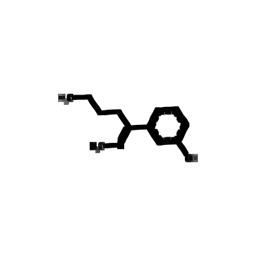 CCCCC(=NC)c1cccc(O)c1